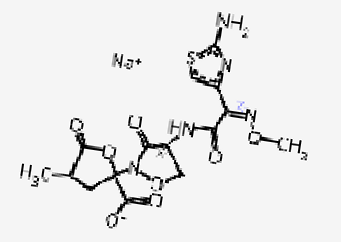 CO/N=C(\C(=O)N[C@H]1CON(C2(C(=O)[O-])CC(C)C(=O)O2)C1=O)c1csc(N)n1.[Na+]